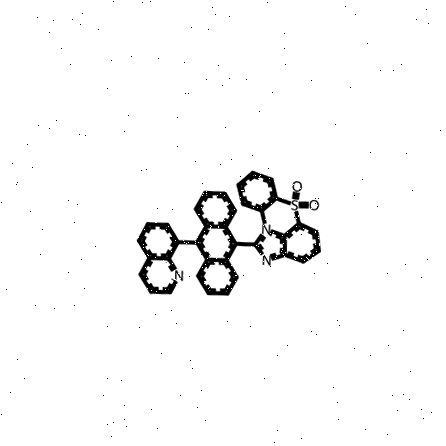 O=S1(=O)c2ccccc2-n2c(-c3c4ccccc4c(-c4cccc5cccnc45)c4ccccc34)nc3cccc1c32